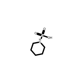 O=S(=O)(O)[SH]1CCCCC1